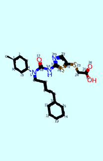 C[C@H]1CC[C@H](N(CCCCC2CCCCC2)C(=O)Nc2ncc(SCC(=O)O)s2)CC1